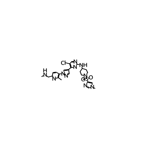 CNCc1ccc(-n2cc(-c3nc(NC4CCN(S(=O)(=O)c5cn(C)cn5)CC4)ncc3Cl)cn2)c(C)n1